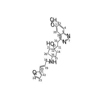 COc1ccc2ncnc(CCC3(O)CCC(NC/C=C/c4ccco4)CC3)c2c1